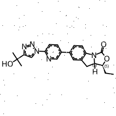 CC[C@@H]1OC(=O)N2c3ccc(-c4ccc(-n5cc(C(C)(C)O)nn5)nc4)cc3C[C@@H]12